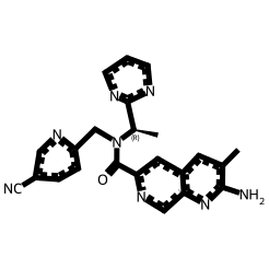 Cc1cc2cc(C(=O)N(Cc3ccc(C#N)cn3)[C@H](C)c3ncccn3)ncc2nc1N